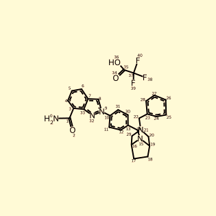 NC(=O)c1cccc2cn(-c3ccc(CN4C5CCC4CN(Cc4ccccc4)C5)cc3)nc12.O=C(O)C(F)(F)F